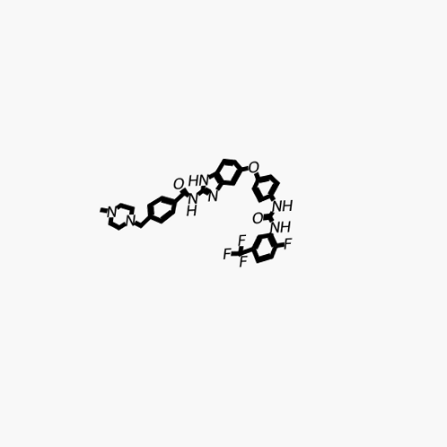 CN1CCN(Cc2ccc(C(=O)Nc3nc4cc(Oc5ccc(NC(=O)Nc6cc(C(F)(F)F)ccc6F)cc5)ccc4[nH]3)cc2)CC1